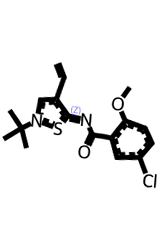 C=Cc1cn(C(C)(C)C)s/c1=N\C(=O)c1cc(Cl)ccc1OC